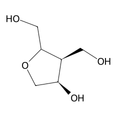 OCC1OC[C@H](O)[C@@H]1CO